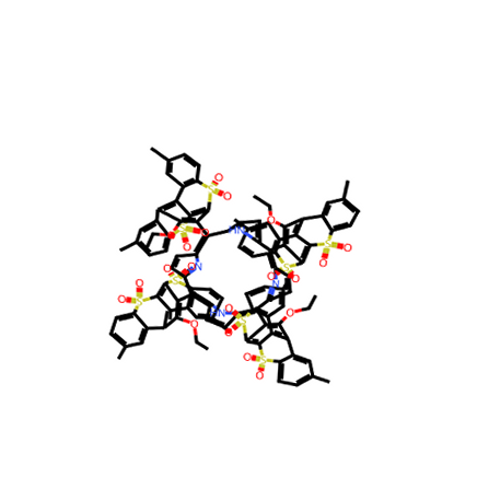 CCOc1c2c3c(c(c1-c1c4nc(c(-c5c(OCC)c6c7c(c5S(=O)(=O)c5ccc(C)cc5-7)S(=O)(=O)c5ccc(C)cc5-6)c5ccc([nH]5)c(-c5c(OCC)c6c7c(c5S(=O)(=O)c5ccc(C)cc5-7)S(=O)(=O)c5ccc(C)cc5-6)c5nc(c(-c6c(OCC)c7c8c(c6S(=O)(=O)c6ccc(C)cc6-8)S(=O)(=O)c6ccc(C)cc6-7)c6ccc1[nH]6)C=C5)C=C4)S(=O)(=O)c1ccc(C)cc1-3)S(=O)(=O)c1ccc(C)cc1-2